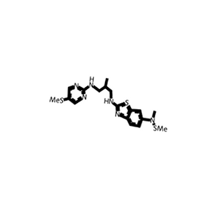 CSc1cnc(NCC(C)CNc2nc3ccc(N(C)SC)cc3s2)nc1